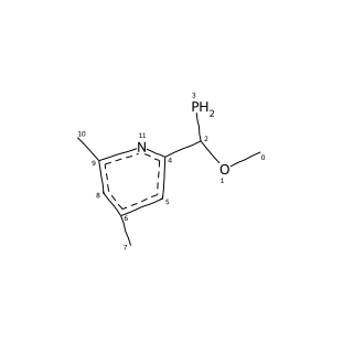 COC(P)c1cc(C)cc(C)n1